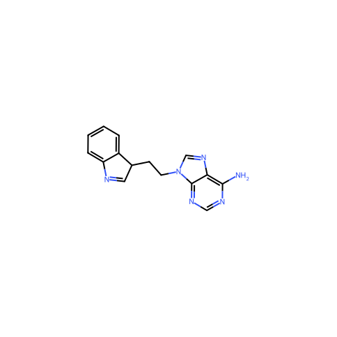 Nc1ncnc2c1ncn2CCC1C=Nc2ccccc21